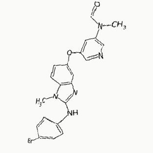 CN(C=O)c1cncc(Oc2ccc3c(c2)nc(Nc2ccc(Br)cc2)n3C)c1